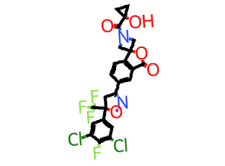 O=C1OC2(CN(C(=O)C3(O)CC3)C2)c2ccc(C3=NOC(c4cc(Cl)c(F)c(Cl)c4)(C(F)(F)F)C3)cc21